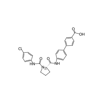 O=C(O)c1ccc(-c2ccc(NC(=O)[C@@H]3CCCN3C(=O)Nc3ccc(Cl)cc3)cc2)cc1